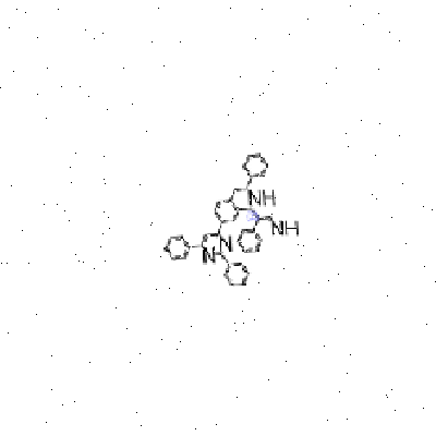 N=C/C(=C1\NC(c2ccccc2)=Cc2ccc(-c3cc(-c4ccccc4)nc(-c4ccccc4)n3)cc21)c1ccccc1